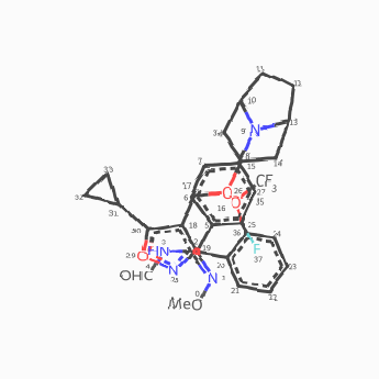 CO/N=C(\NC=O)c1ccc(N2C3CCC2CC(OCc2c(-c4ccccc4OC(F)(F)F)noc2C2CC2)C3)cc1F